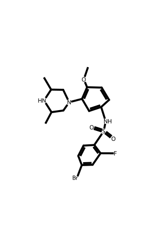 COc1ccc(NS(=O)(=O)c2ccc(Br)cc2F)cc1N1CC(C)NC(C)C1